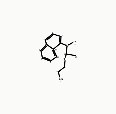 CCN(c1cccc2ccccc12)C(C)OCCC#N